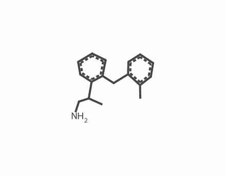 Cc1ccccc1Cc1ccccc1C(C)CN